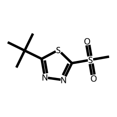 CC(C)(C)c1nnc(S(C)(=O)=O)s1